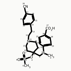 CN(CC1(OS(C)(=O)=O)CCN(CCc2ccc(C#N)cc2)CC1)c1ccc(C(=O)O)cc1